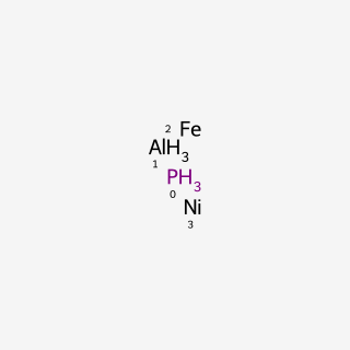 P.[AlH3].[Fe].[Ni]